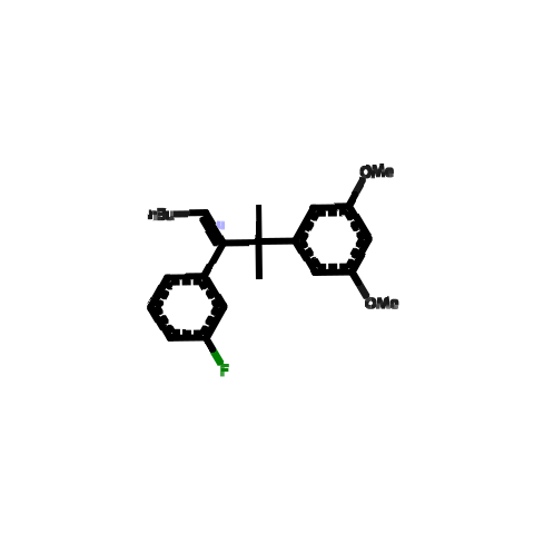 CCCC/C=C(\c1cccc(F)c1)C(C)(C)c1cc(OC)cc(OC)c1